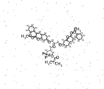 C=C(C)C(=O)OCC(COC(COc1ccc2cc(-c3ccccc3OC)c(=O)oc2c1)COc1ccc2cc(-c3ccccc3OC)c(=O)oc2c1)CC(F)(F)F